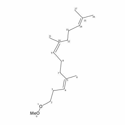 COOCCC=C(C)CCC=C(C)CCC=C(C)C